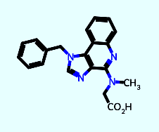 CN(CC(=O)O)c1nc2ccccc2c2c1ncn2Cc1ccccc1